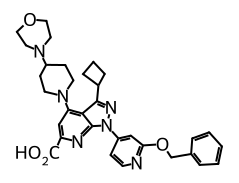 O=C(O)c1cc(N2CCC(N3CCOCC3)CC2)c2c(C3CCC3)nn(-c3ccnc(OCc4ccccc4)c3)c2n1